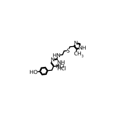 Cc1[nH]cnc1CSCCNC1=NC=C(Cc2ccc(O)cc2)CN1.Cl.Cl